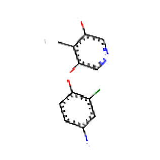 Cc1c(O)cncc1Oc1ccc(N)cc1F